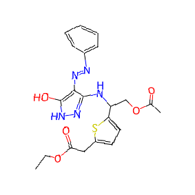 CCOC(=O)Cc1ccc(C(COC(C)=O)Nc2n[nH]c(O)c2N=Nc2ccccc2)s1